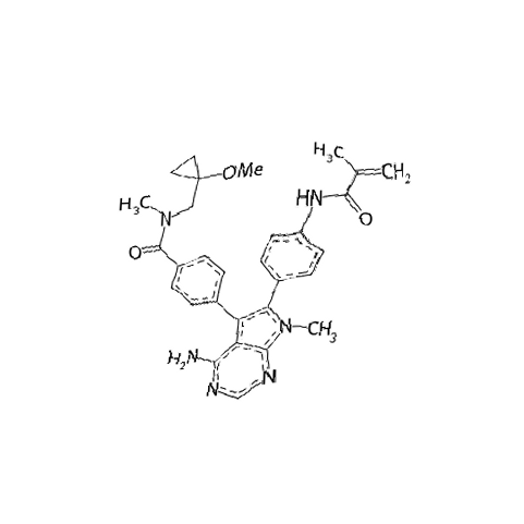 C=C(C)C(=O)Nc1ccc(-c2c(-c3ccc(C(=O)N(C)CC4(OC)CC4)cc3)c3c(N)ncnc3n2C)cc1